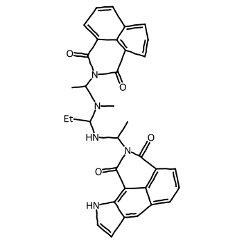 CCC(NC(C)N1C(=O)c2cccc3cc4cc[nH]c4c(c23)C1=O)N(C)C(C)N1C(=O)c2cccc3cccc(c23)C1=O